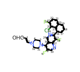 O=CC=CN1CCN(c2c(F)cnc3c(F)c(-c4cccc5ccc(F)c(Cl)c45)ncc23)CC1